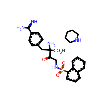 C1CCNCC1.N=C(N)c1ccc(CC(N)(C(=O)O)C(=O)CNS(=O)(=O)c2cccc3ccccc23)cc1